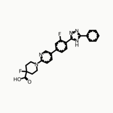 O=C(O)C1(F)CCN(c2ccc(-c3ccc(-c4nnc(-c5ccccc5)[nH]4)c(F)c3)cn2)CC1